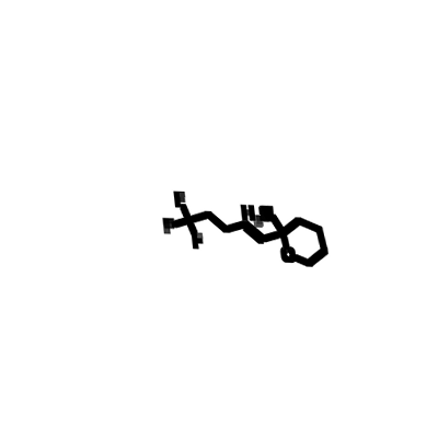 FC(F)(F)CCC=CC1([SiH3])CCCCO1